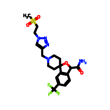 CS(=O)(=O)CCn1cc(CN2CCC3(CC2)OC(C(N)=O)c2ccc(C(F)(F)F)cc23)nn1